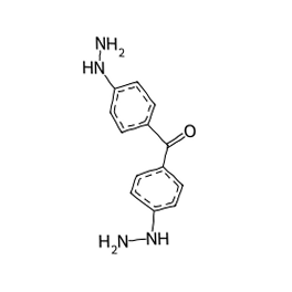 NNc1ccc(C(=O)c2ccc(NN)cc2)cc1